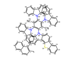 Cc1ccc2ccccc2c1-c1ccc2c(c1)c1c3sc4ccccc4c3ccc1n2-c1c(C#N)c(-n2c3ccccc3c3ccccc32)c(-n2c3ccccc3c3ccccc32)c(C#N)c1-n1c2ccccc2c2ccccc21